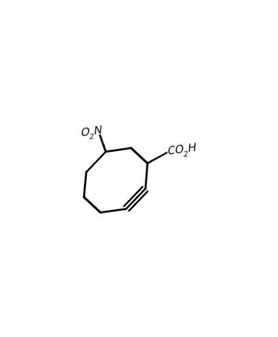 O=C(O)C1C#CCCCC([N+](=O)[O-])C1